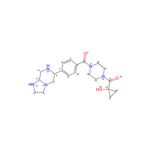 O=C(c1ccc(C2CN3CCNC3CN2)cc1)N1CCN(C(=O)C2(O)CC2)CC1